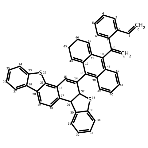 C=Cc1ccccc1C(=C)c1c2c(c(C3=Cc4c(ccc5c4sc4ccccc45)C4c5ccccc5SC34)c3ccccc13)=CCCC=2